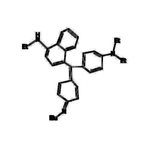 CCNc1ccc(C(=C2C=CC(=NC(C)CC)C=C2)c2ccc(N(CC)CC)cc2)c2ccccc12